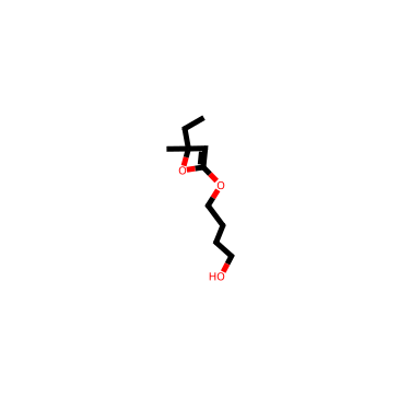 CCC1(C)C=C(OCCCCO)O1